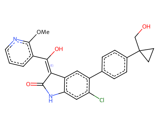 COc1ncccc1/C(O)=C1\C(=O)Nc2cc(Cl)c(-c3ccc(C4(CO)CC4)cc3)cc21